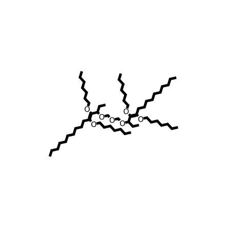 CCCCCCCCCCC(OCCCCCCC)=C(OCCCCCCC)C(CC)OCOCOC(CC)C(OCCCCCCC)=C(CCCCCCCCCC)OCCCCCCC